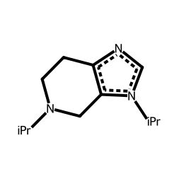 CC(C)N1CCc2ncn(C(C)C)c2C1